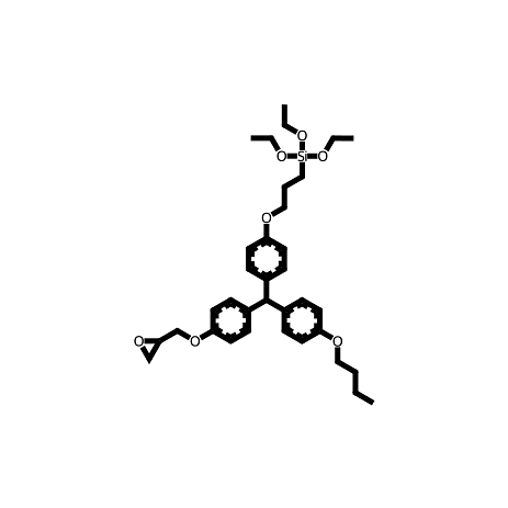 CCCCOc1ccc(C(c2ccc(OCCC[Si](OCC)(OCC)OCC)cc2)c2ccc(OCC3CO3)cc2)cc1